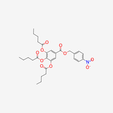 CCCCC(=O)Oc1cc(C(=O)OCc2ccc([N+](=O)[O-])cc2)cc(OC(=O)CCCC)c1OC(=O)CCCC